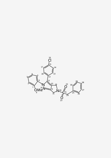 COc1ccccc1-n1nc2c(c1-c1ccc(Cl)cc1)CN(S(=O)(=O)Cc1ccccc1)C2